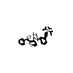 CC(C)[Si](C#Cc1cccc(Nc2ccsc2C(=O)c2ccccc2)c1)(C(C)C)C(C)C